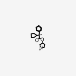 CN1CC[C@H](OC(=O)[C@@](C)(c2ccccc2)C2CCCC2)C1